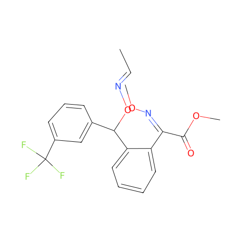 C/C=N/OC(c1cccc(C(F)(F)F)c1)c1ccccc1/C(=N\OC)C(=O)OC